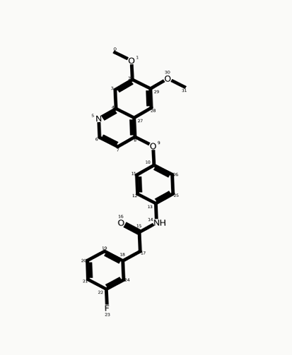 COc1cc2nccc(Oc3ccc(NC(=O)Cc4cccc(F)c4)cc3)c2cc1OC